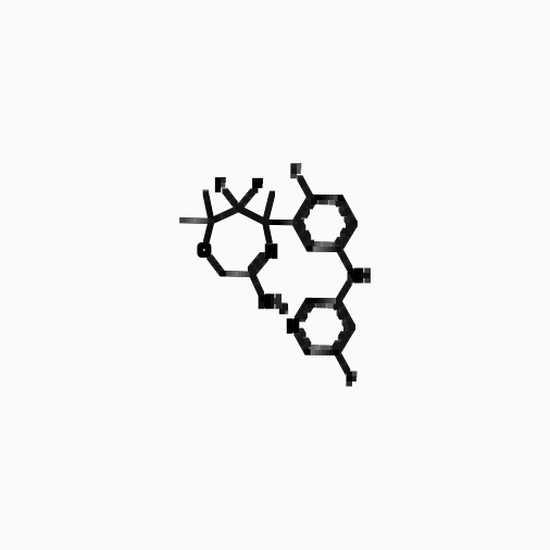 CC1(C)OCC(N)=NC(C)(c2cc(Nc3cncc(F)c3)ccc2F)C1(F)F